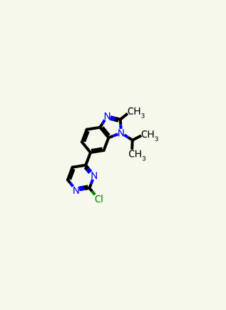 Cc1nc2ccc(-c3ccnc(Cl)n3)cc2n1C(C)C